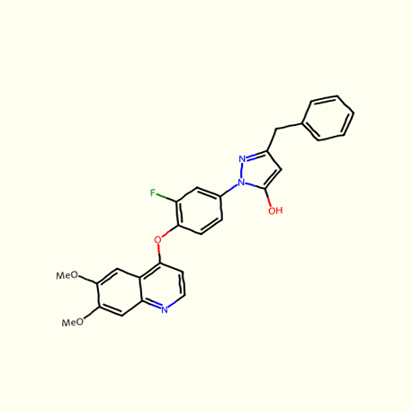 COc1cc2nccc(Oc3ccc(-n4nc(Cc5ccccc5)cc4O)cc3F)c2cc1OC